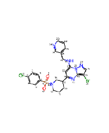 O=S(=O)(c1ccc(Cl)cc1)N1CCCC(c2cc(NCc3cccnc3)n3ncc(Br)c3n2)C1